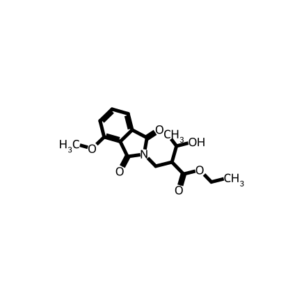 CCOC(=O)C(CN1C(=O)c2cccc(OC)c2C1=O)C(C)O